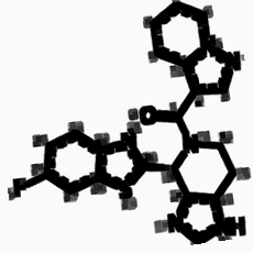 O=C(c1cnn2ccccc12)N1CCc2[nH]cnc2[C@H]1c1nc2ccc(F)cc2s1